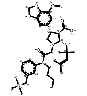 CCCCN(C(=O)CN1C[C@H](c2cc(OC)c3c(c2)OCO3)[C@@H](C(=O)O)[C@@H]1CC(C)(C)C=C(C)C)c1cccc(C[N+](C)(C)C)c1